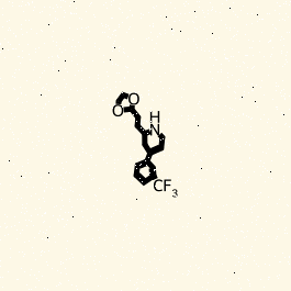 FC(F)(F)c1cccc(C2=CCNC(CCC3OCCO3)C2)c1